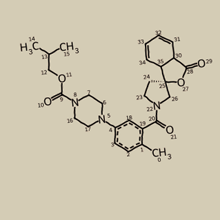 Cc1ccc(N2CCN(C(=O)OCC(C)C)CC2)cc1C(=O)N1CC[C@@]2(C1)OC(=O)C1C=CC=CC12